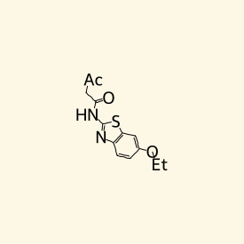 CCOc1ccc2nc(NC(=O)CC(C)=O)sc2c1